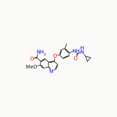 COc1cc2nccc(Oc3ccc(NC(=O)NC4CC4)c(C)c3)c2cc1C(N)=O